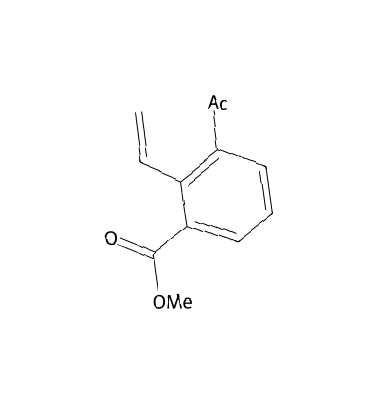 C=Cc1c(C(C)=O)cccc1C(=O)OC